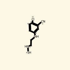 N#Cc1cc(NCCNS)ccc1Cl